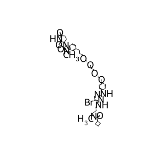 CN(CCCNc1nc(Nc2ccc(OCCOCCOCCOCCCc3ccc4c(c3)n(C)c(=O)n4C3CCC(=O)NC3=O)cc2)ncc1Br)C(=O)C1CCC1